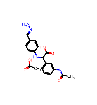 CC(=O)Nc1cccc(C(Nc2ccc(C=NN)cc2)C(=O)O)c1.CC(=O)O